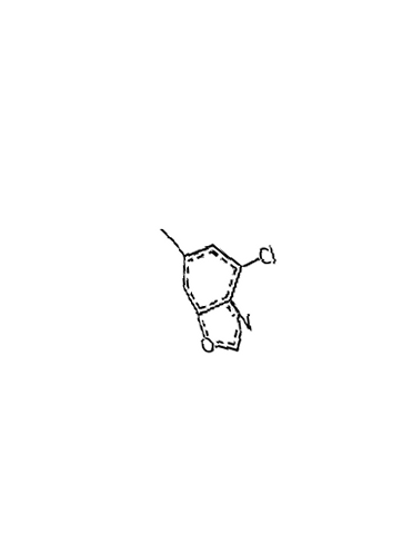 Cc1cc(Cl)c2ncoc2c1